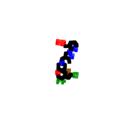 CC1=NN(c2ncccc2CO)CC1CN1CCC2(CC1)OCC(F)(F)c1cc(Cl)sc12